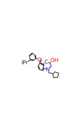 CC(C)c1cccc(Oc2cccc(N(CC3CCCC3)CC(O)C(F)(F)F)c2)c1